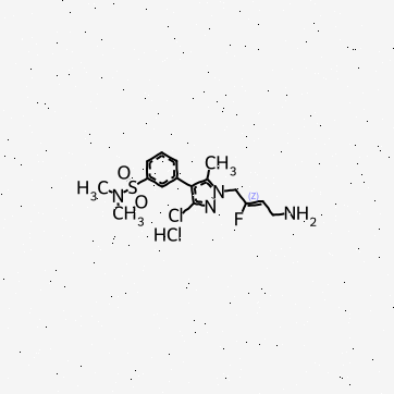 Cc1c(-c2cccc(S(=O)(=O)N(C)C)c2)c(Cl)nn1C/C(F)=C/CN.Cl